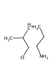 CC(C)C[O].CCCN